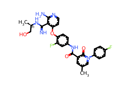 Cc1cc(C(=O)Nc2ccc(Oc3ccnc(N)c3C(=N)N[C@H](C)CO)c(F)c2)c(=O)n(-c2ccc(F)cc2)c1